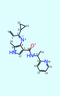 C=C/C(=N\c1c(C(=O)NC(C)c2ccccn2)c[nH]c1C)C1CC1